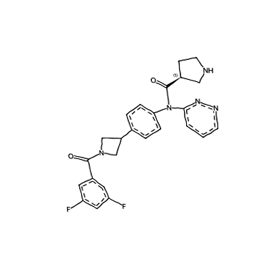 O=C(c1cc(F)cc(F)c1)N1CC(c2ccc(N(C(=O)[C@H]3CCNC3)c3cccnn3)cc2)C1